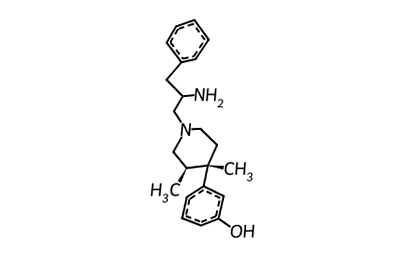 C[C@H]1CN(CC(N)Cc2ccccc2)CC[C@]1(C)c1cccc(O)c1